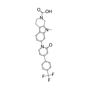 Cn1c2c(c3ccc(-n4ccc(-c5ccc(C(F)(F)F)cc5)cc4=O)cc31)CCN(C(=O)O)C2